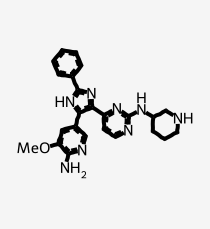 COc1cc(-c2[nH]c(-c3ccccc3)nc2-c2ccnc(NC3CCCNC3)n2)cnc1N